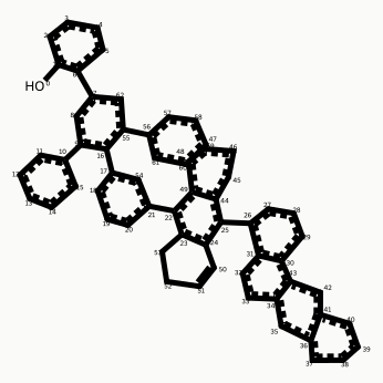 Oc1ccccc1-c1cc(-c2ccccc2)c(-c2cccc(-c3c4c(c(-c5cccc6c5ccc5cc7ccccc7cc56)c5ccccc35)C=CCC4)c2)c(-c2ccccc2)c1